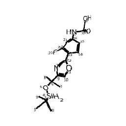 CC(C)(C)[SiH2]OC(C)(C)c1coc(-c2ccc(NC(=O)O)cc2F)n1